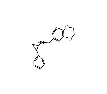 c1ccc(C2CC2NCc2ccc3c(c2)OCCO3)cc1